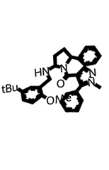 COc1ccc(C(C)(C)C)cc1CNC1CCC(c2ccccc2)N1C(=O)c1cnn(C)c1-c1ccccc1